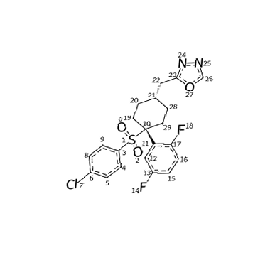 O=S(=O)(c1ccc(Cl)cc1)[C@]1(c2cc(F)ccc2F)CC[C@H](Cc2nnco2)CC1